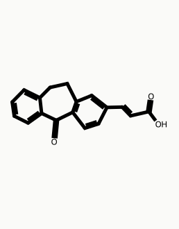 O=C(O)C=Cc1ccc2c(c1)CCc1ccccc1C2=O